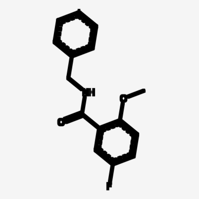 COc1ccc(F)cc1C(=O)NCc1cc[c]cc1